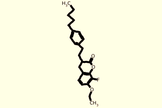 CCCCCc1ccc(CCC2Cc3ccc(OCC)c(F)c3OC2=O)cc1